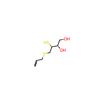 C=CCSC[C@@H](S)[C@H](O)CO